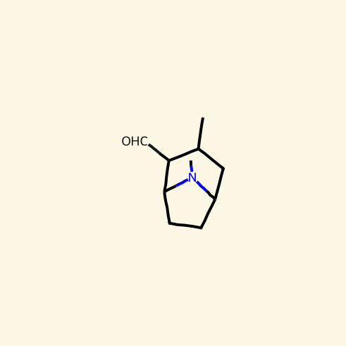 CC1CC2CCC(C1C=O)N2C